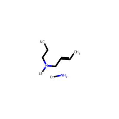 CC=CCN(CC)CCC#N.CCN